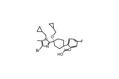 Cc1c(Br)nc([C@]2(OCC3CC3)CC[C@](C(=O)O)(c3ccc(F)cc3)CC2)n1CC1CC1